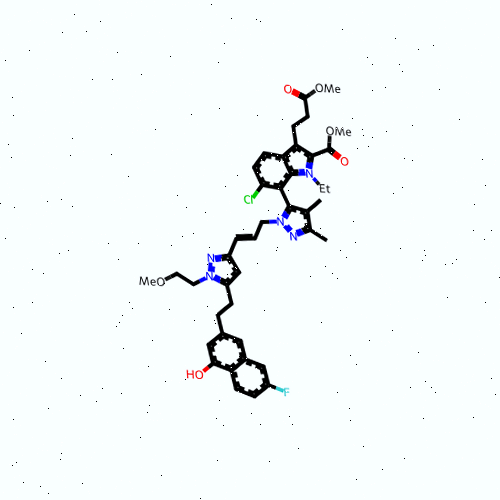 CCn1c(C(=O)OC)c(CCC(=O)OC)c2ccc(Cl)c(-c3c(C)c(C)nn3CC=Cc3cc(CCc4cc(O)c5ccc(F)cc5c4)n(CCOC)n3)c21